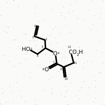 C=CCC(CO)OC(=O)C(=C)CC(=O)O